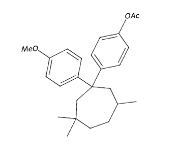 COc1ccc(C2(c3ccc(OC(C)=O)cc3)CC(C)CCC(C)(C)C2)cc1